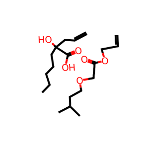 C=CCC(O)(CCCCC)C(=O)O.C=CCOC(=O)COCCC(C)C